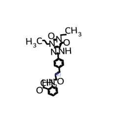 CCCn1c(=O)c2[nH]c(-c3ccc(/C=C/C(=O)Nc4ccccc4C(C)=O)cc3)nc2n(CCC)c1=O